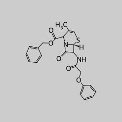 CC1=CS[C@@H]2C(NC(=O)COc3ccccc3)C(=O)N2C1C(=O)OCc1ccccc1